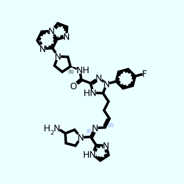 NC1CCN(/C(=N/C=C\CCC2NC(C(=O)N[C@H]3CCN(c4nccn5ccnc45)C3)=NN2c2ccc(F)cc2)c2ncc[nH]2)C1